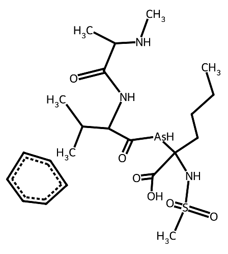 CCCCC(NS(C)(=O)=O)([AsH]C(=O)C(NC(=O)C(C)NC)C(C)C)C(=O)O.c1ccccc1